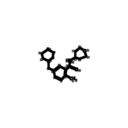 Cc1ccc(CN2CCSCC2)cc1C(=O)NC1CCOCC1